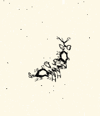 CC(C)C(=O)Oc1ccc2nc(NC(=O)Nc3ccc(Br)cc3)sc2c1